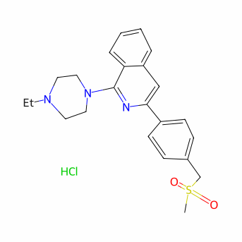 CCN1CCN(c2nc(-c3ccc(CS(C)(=O)=O)cc3)cc3ccccc23)CC1.Cl